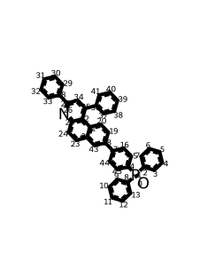 O=P(c1ccccc1)(c1ccccc1)c1ccc(-c2ccc3c(ccc4nc(-c5ccccc5)cc(-c5ccccc5)c43)c2)cc1